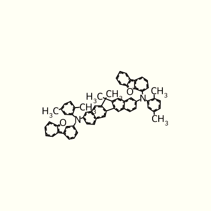 Cc1ccc(C)c(N(c2ccc3cc4c(cc3c2)C(C)(C)c2cc3cc(N(c5cc(C)ccc5C)c5cccc6c5oc5ccccc56)ccc3cc2-4)c2cccc3c2oc2ccccc23)c1